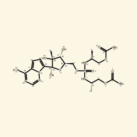 C[C@@H](COC(=O)C(C)(C)C)NP(=O)(N[C@@H](C)COC(=O)C(C)(C)C)OC[C@H]1O[C@@](C#N)(c2ccc3c(N)ncnn23)[C@](C)(O)[C@@H]1O